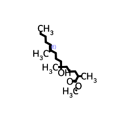 CCCC/C=C(\C)CCCC(C)(O)CCCC(C)C(=O)OC